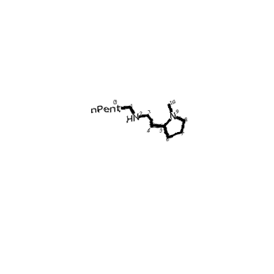 CCCCCCNCCC1CCCN1C